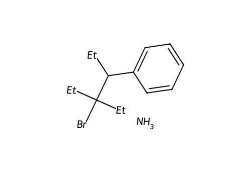 CCC(c1ccccc1)C(Br)(CC)CC.N